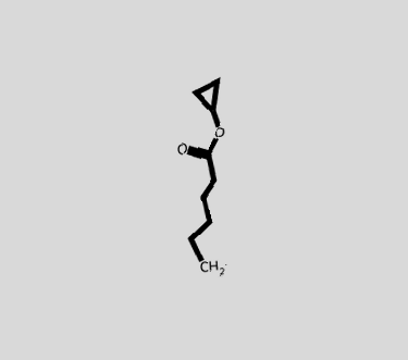 [CH2]CCCCC(=O)OC1CC1